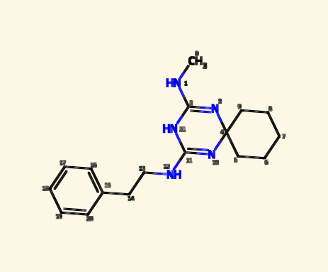 CNC1=NC2(CCCCC2)N=C(NCCc2ccccc2)N1